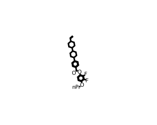 C=CC1CCC(C2CCC(c3ccc(C(=O)Oc4ccc(OCCC)c(F)c4F)cc3)CC2)CC1